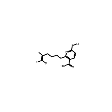 CC(CCCCc1nc(SCl)ccc1C(=O)O)=C(F)F